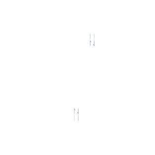 C1CNCC2CNC2C1